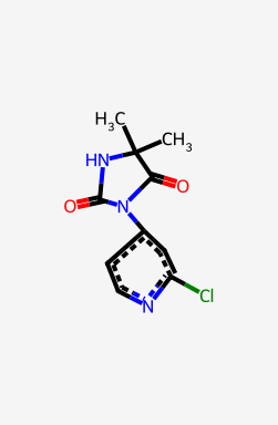 CC1(C)NC(=O)N(c2ccnc(Cl)c2)C1=O